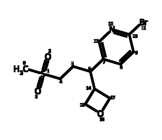 CS(=O)(=O)CCC(c1ccc(Br)nc1)C1COC1